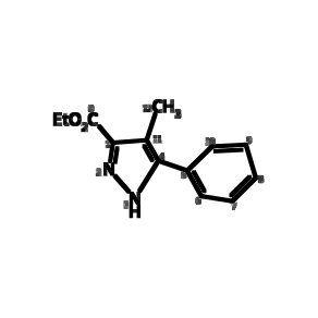 CCOC(=O)c1n[nH]c(-c2ccccc2)c1C